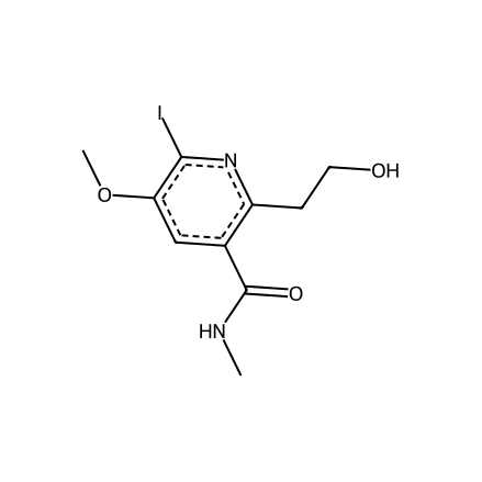 CNC(=O)c1cc(OC)c(I)nc1CCO